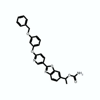 CC(OC(N)=O)c1ccc2nc(-c3ccc(Oc4cccc(OCc5ccccc5)c4)nc3)oc2c1